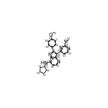 COc1ccc(-c2nn3c(NC4CCCC4)ccnc3c2-c2ccnc(SC)n2)cc1